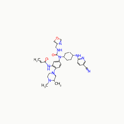 C=CC(=O)Nc1cc(N(C(=O)NCc2cocn2)C2CCC(Nc3ccc(C#N)cn3)CC2)ccc1N1CCN(C)C(C)C1